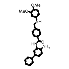 COc1ccc(NCc2ccc(C(=O)Nc3cc(-c4ccccc4)ccc3N)cc2)cc1OC